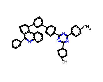 Cc1ccc(-c2nc(-c3ccc(C)cc3)nc(-c3ccc(-c4cccc(-c5cccc6c(-c7ccccc7)nc7ccccc7c56)c4)cc3)n2)cc1